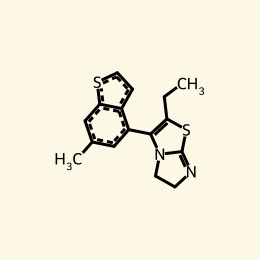 CCC1=C(c2cc(C)cc3sccc23)N2CCN=C2S1